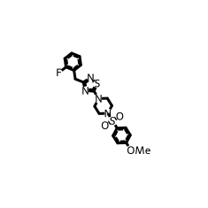 COc1ccc(S(=O)(=O)N2CCN(c3nc(Cc4ccccc4F)ns3)CC2)cc1